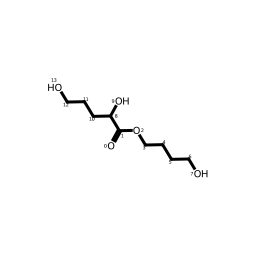 O=C(OCCCCO)C(O)CCCO